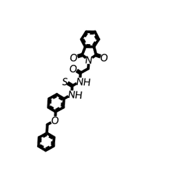 O=C(CN1C(=O)c2ccccc2C1=O)NC(=S)Nc1cccc(OCc2ccccc2)c1